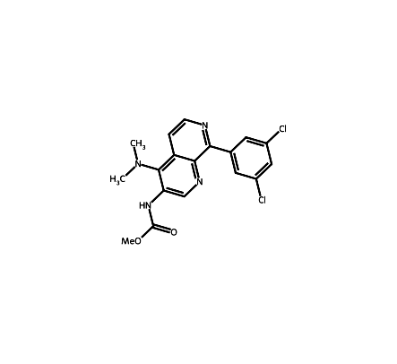 COC(=O)Nc1cnc2c(-c3cc(Cl)cc(Cl)c3)nccc2c1N(C)C